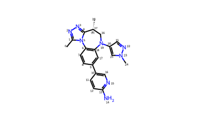 Cc1nnc2n1-c1ccc(-c3ccc(N)nc3)cc1N(c1cnn(C)c1)C[C@H]2C